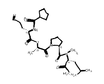 CC(=O)[C@@H](CC(C)C)N(C)C(=O)[C@@H]1CCCN1C(=O)[C@H](C)OC(=O)[C@H](CCC=O)NC(=O)C1CCCC1